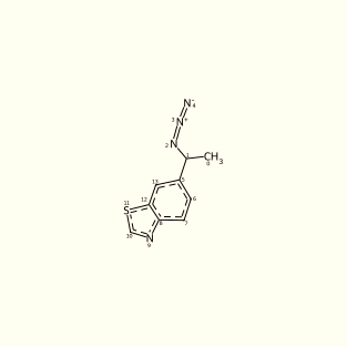 CC(N=[N+]=[N-])c1ccc2ncsc2c1